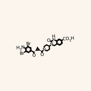 Nc1c(Br)cc(C(=O)[C@@H]2C[C@H]2C(=O)N2CCC(N3Cc4ccc(C(=O)O)cc4NC3=O)CC2)cc1Br